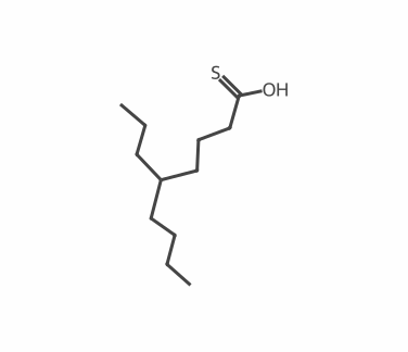 CCCCC(CCC)CCCC(O)=S